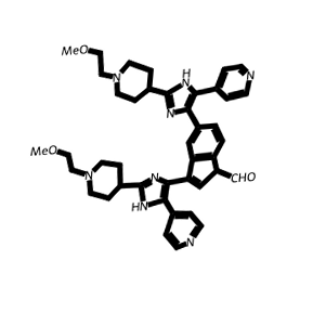 COCCN1CCC(c2nc(C3=CC(C=O)c4ccc(-c5nc(C6CCN(CCOC)CC6)[nH]c5-c5ccncc5)cc43)c(-c3ccncc3)[nH]2)CC1